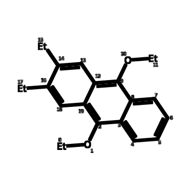 CCOc1c2ccccc2c(OCC)c2cc(CC)c(CC)cc12